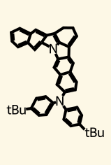 CC(C)(C)c1ccc(N(c2ccc(C(C)(C)C)cc2)c2ccc3cc4c5c6c(c7cc8ccccc8cc7n6c4cc3c2)CCC=5)cc1